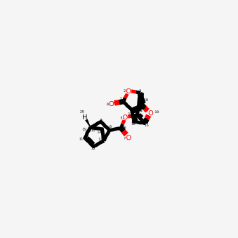 O=C1Oc2c(OC(=O)C3C[C@H]4C=CC3C4)c3cc1c2o3